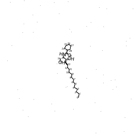 CCCCCCCCCCCCC/C=C/[C@@H](O)[C@H](CO)NC(=O)C1CCCCC1